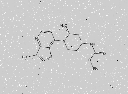 Cc1csc2c(N3CCC(NC(=O)OC(C)(C)C)CC3C)ncnc12